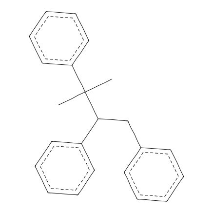 CC(C)(c1ccccc1)C(Cc1ccccc1)c1ccccc1